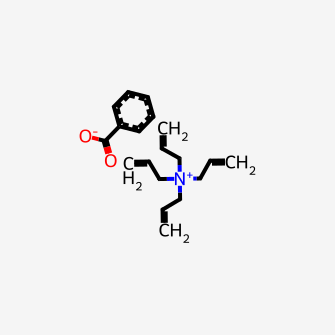 C=CC[N+](CC=C)(CC=C)CC=C.O=C([O-])c1ccccc1